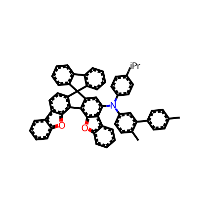 Cc1ccc(-c2cc(N(c3ccc(C(C)C)cc3)c3cc4c(c5oc6ccccc6c35)-c3c(ccc5c3oc3ccccc35)C43c4ccccc4-c4ccccc43)ccc2C)cc1